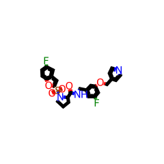 O=C(NCc1cc(F)cc(OCc2ccncc2)c1)C1CCCN1S(=O)(=O)c1cc2cc(F)ccc2o1